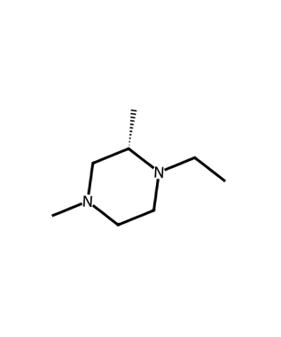 CCN1CCN(C)C[C@@H]1C